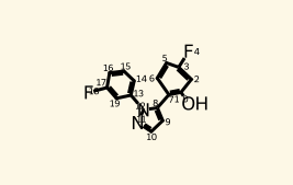 Oc1cc(F)ccc1-c1ccnn1-c1cccc(F)c1